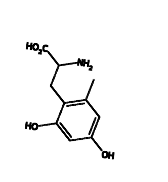 Cc1cc(O)cc(O)c1CC(N)C(=O)O